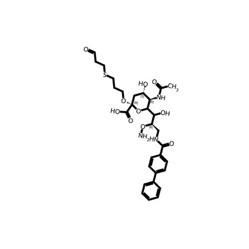 CC(=O)N[C@H]1C(C(O)[C@@H](CNC(=O)c2ccc(-c3ccccc3)cc2)ON)O[C@@](OCCCSCCC=O)(C(=O)O)C[C@@H]1O